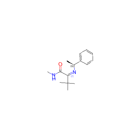 CNC(=O)/C(=N\[C@@H](C)c1ccccc1)C(C)(C)C